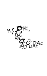 CC(=O)OC[C@H]1O[C@@H](n2ccc(NC(=O)OC(C)c3ccc([N+](=O)[O-])s3)nc2=O)[C@@H](OC(C)=O)[C@@H]1OC(C)=O